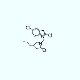 CCCC1CC(=O)N(Cn2c(Cl)cc3cc(Cl)ccc32)C1